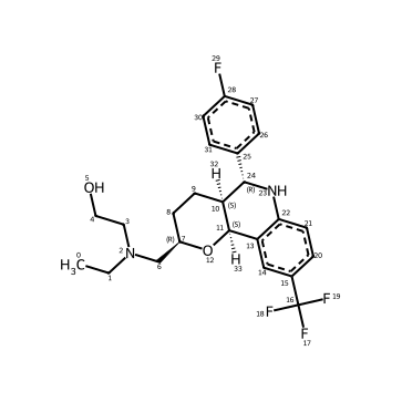 CCN(CCO)C[C@H]1CC[C@@H]2[C@H](O1)c1cc(C(F)(F)F)ccc1N[C@H]2c1ccc(F)cc1